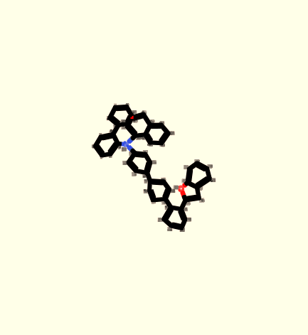 c1ccc(-c2ccccc2N(c2ccc(-c3ccc(-c4ccccc4-c4cc5ccccc5o4)cc3)cc2)c2cccc3ccccc23)cc1